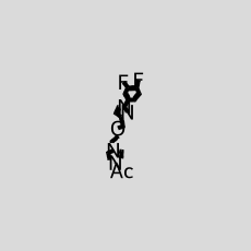 CC(=O)N1CCN(CCOCc2ccn(-c3ccc(F)c(F)c3)n2)CC1